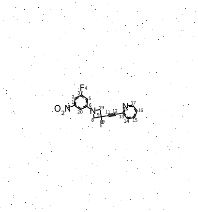 O=[N+]([O-])c1cc(F)cc(N2CC(F)(C#Cc3ccccn3)C2)c1